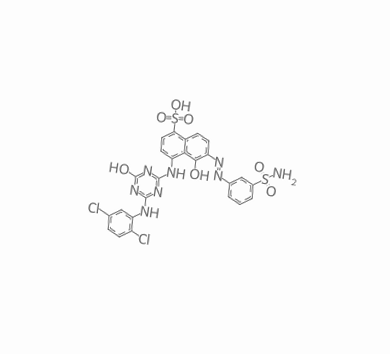 NS(=O)(=O)c1cccc(N=Nc2ccc3c(S(=O)(=O)O)ccc(Nc4nc(O)nc(Nc5cc(Cl)ccc5Cl)n4)c3c2O)c1